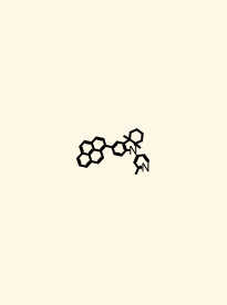 Cc1cc(N2c3ccc(-c4ccc5ccc6cccc7ccc4c5c67)cc3C3(C)CCCCC23C)ccn1